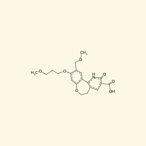 COCCCOc1cc2c(cc1COC)-c1[nH]c(=O)c(C(=O)O)cc1CCO2